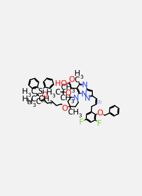 Cc1nc2cc(/C=C\Cc3cc(F)cc(F)c3OCc3ccccc3)nn2c(N2CCC(C)(OCCCC[C@@H](C)O[Si](c3ccccc3)(c3ccccc3)C(C)(C)C)CC2)c1C(OC(C)(C)C)C(=O)O